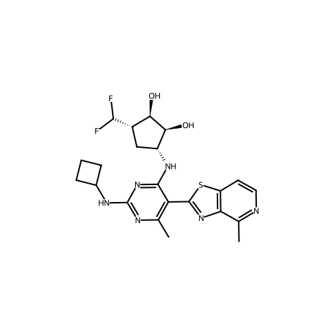 Cc1nc(NC2CCC2)nc(N[C@@H]2C[C@H](C(F)F)[C@@H](O)[C@H]2O)c1-c1nc2c(C)nccc2s1